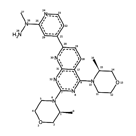 C[C@H]1COCCN1c1nc(N2CCOC[C@@H]2C)c2ccc(-c3ccnc(N(C)N)c3)nc2n1